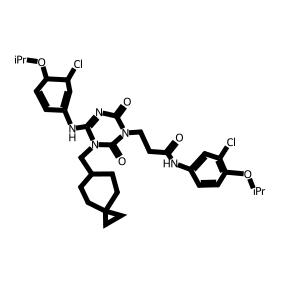 CC(C)Oc1ccc(NC(=O)CCn2c(=O)nc(NC3=CC(Cl)C(OC(C)C)C=C3)n(CC3CCC4(CC3)CC4)c2=O)cc1Cl